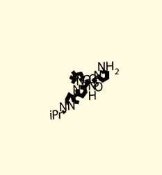 Cc1nc(N(C)CC(C)C)ccc1-c1ccc(C(=O)NS(=O)(=O)c2cccc(N)n2)c(N2CCC(C)C2(C)C)n1